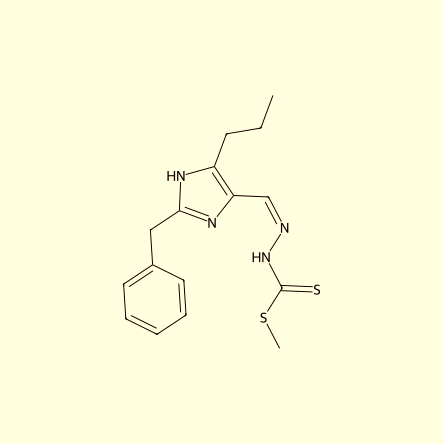 CCCc1[nH]c(Cc2ccccc2)nc1/C=N\NC(=S)SC